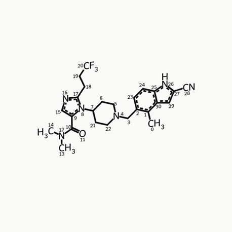 Cc1c(CN2CCC(n3c(C(=O)N(C)C)cnc3CCC(F)(F)F)CC2)ccc2[nH]c(C#N)cc12